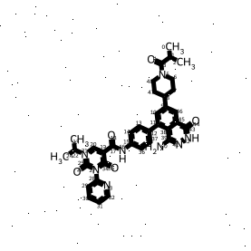 CC(C)C(=O)N1CCC(c2cc(-c3ccc(NC(=O)c4cn(C(C)C)c(=O)n(-c5ccccn5)c4=O)cc3)c3c(N)n[nH]c(=O)c3c2)CC1